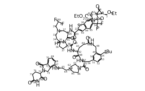 CCOC[C@@H]1C(=O)[C@]1(C)P(=O)(N[C@@H](C)C(=O)OCC)C(F)(F)c1ccc2sc(C(=O)N[C@H]3CN(CC(F)F)CC[C@H]4CC[C@@H](C(=O)N[C@H]5CCC(=O)NCc6cc(ccc6C(C)(C)C)C[C@@H](C(=O)N6CCN(CCNc7cccc8c7CN(C7CCC(=O)NC7=O)C8=O)CC6)NC5=O)N4C3=O)cc2c1